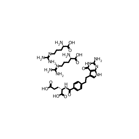 NC(N)=NCCC[C@H](N)C(=O)O.NC(N)=NCCC[C@H](N)C(=O)O.Nc1nc2[nH]cc(CCc3ccc(C(=O)N[C@@H](CCC(=O)O)C(=O)O)cc3)c2c(=O)[nH]1